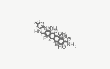 CC(C)C[C@@H]1NCc2c(F)c3c(c(O)c2NC1=O)C(=O)C1=C(O)[C@]2(O)C(=O)C(C(N)=O)=C(O)C[C@@H]2CC1C3